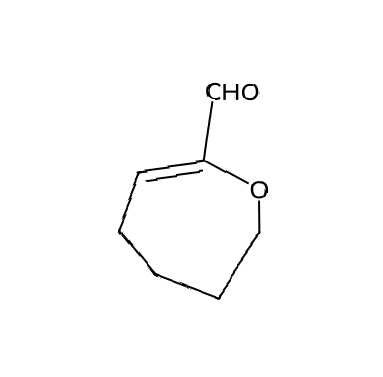 O=CC1=CCCCCO1